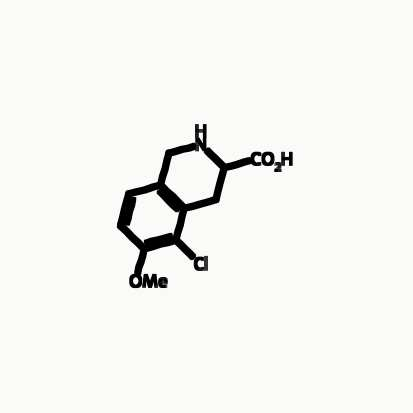 COc1ccc2c(c1Cl)CC(C(=O)O)NC2